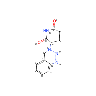 O=C1CCC(N2Cc3ccccc3N=N2)C(=O)N1